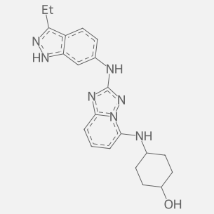 CCc1n[nH]c2cc(Nc3nc4cccc(NC5CCC(O)CC5)n4n3)ccc12